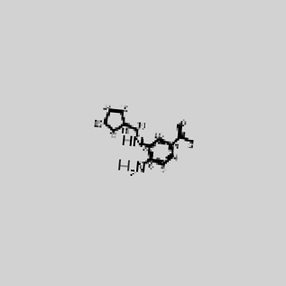 C=C(C)c1ccc(N)c(NCC2CCCC2)c1